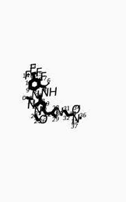 Cc1nc(N[C@H](C)c2cccc(C(F)(F)F)c2F)c2cc3n(c2n1)CCOC3C1CN(CCC(=O)N(C)C)C1